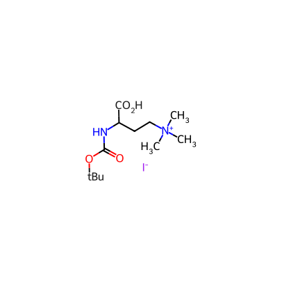 CC(C)(C)OC(=O)NC(CC[N+](C)(C)C)C(=O)O.[I-]